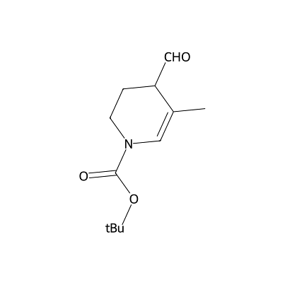 CC1=CN(C(=O)OC(C)(C)C)CCC1C=O